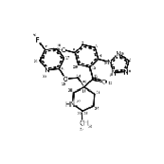 Cc1ccc(-n2ncnn2)c(C(=O)[C@]2(COc3ccc(F)cn3)CC[C@@H](C)NC2)c1